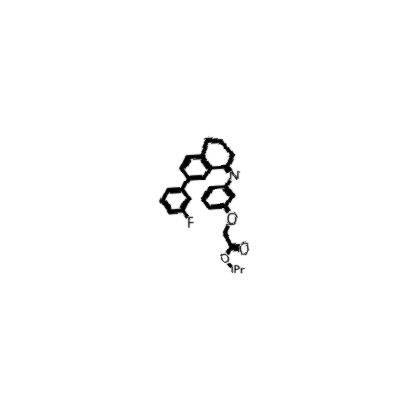 CC(C)OC(=O)COc1cccc(/N=C2/CCCc3ccc(-c4cccc(F)c4)cc32)c1